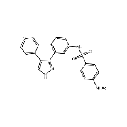 CC(=O)Nc1ccc(S(=O)(=O)Nc2cccc(-c3n[nH]cc3-c3ccncc3)c2)cc1